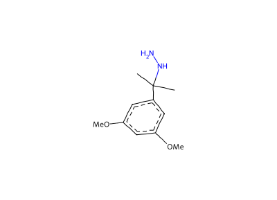 COc1cc(OC)cc(C(C)(C)NN)c1